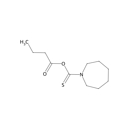 CCCC(=O)OC(=S)N1CCCCCC1